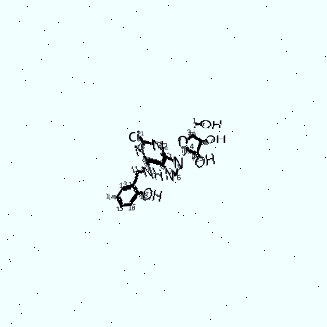 OC[C@H]1O[C@@H](n2cnc3c(NCc4ccccc4O)nc(Cl)nc32)[C@H](O)[C@@H]1O